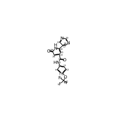 O=C(Nc1ccc(OC(F)(F)F)cc1)c1cc(-c2cncnc2)[nH]c(=O)c1